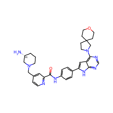 N[C@@H]1CCCN(Cc2ccnc(C(=O)Nc3ccc(-c4cc5c(N6CCC7(CCOCC7)C6)ncnc5[nH]4)cc3)c2)C1